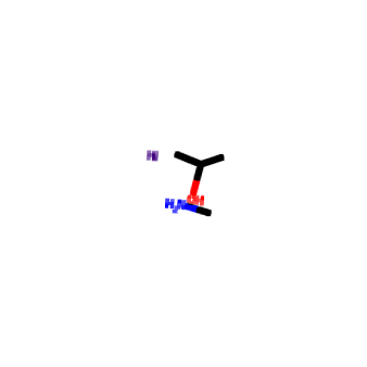 CC(C)O.CN.I